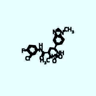 CN1[C@@H](C(=O)Nc2ccc(F)c(Cl)c2)C[C@@H](c2ccc3c(c2)ncn3C)NS1(=O)=O